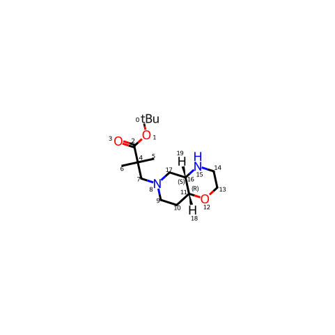 CC(C)(C)OC(=O)C(C)(C)CN1CC[C@H]2OCCN[C@H]2C1